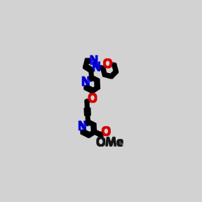 COC(=O)c1ccnc(C#CCOc2ccc(-c3ccnn3C3CCCCO3)nc2)c1